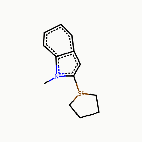 Cn1c([S+]2CCCC2)cc2ccccc21